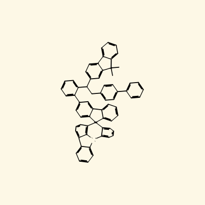 CC1(C)c2ccccc2-c2ccc(C(Cc3ccc(-c4ccccc4)cc3)c3ccccc3-c3ccc4c(c3)-c3ccccc3C43c4ccccc4-n4c5ccccc5c5cccc3c54)cc21